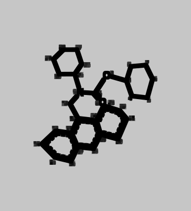 O=C(OC1CCCCC1)N(Cc1c2ccccc2cc2ccccc12)C1CCCCC1